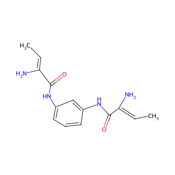 CC=C(N)C(=O)Nc1cccc(NC(=O)C(N)=CC)c1